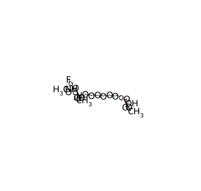 CCOC(=O)C(O)=CC(=O)c1ccc(COCCOCCOCCOCCOCCOCCN(c2cc3oc(-c4ccc(F)cc4)c(C(=O)NC)c3cc2C2CC2)S(C)(=O)=O)cc1